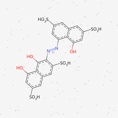 O=S(=O)(O)c1cc(O)c2c(/N=N/c3c(S(=O)(=O)O)cc4cc(S(=O)(=O)O)cc(O)c4c3O)cc(S(=O)(=O)O)cc2c1